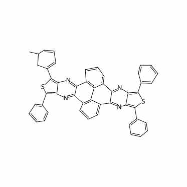 CC1C=CC=C(c2sc(-c3ccccc3)c3nc4c5cccc6c7nc8c(-c9ccccc9)sc(-c9ccccc9)c8nc7c7cccc(c4nc23)c7c56)C1